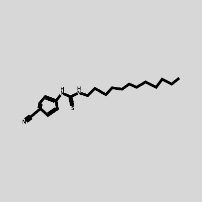 CCCCCCCCCCCCNC(=S)Nc1ccc(C#N)cc1